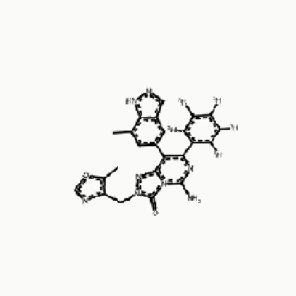 [2H]c1c([2H])c([2H])c(-c2nc(N)n3c(=O)n(Cc4ncoc4C)nc3c2-c2cc(C)c3[nH]ncc3c2)c([2H])c1[2H]